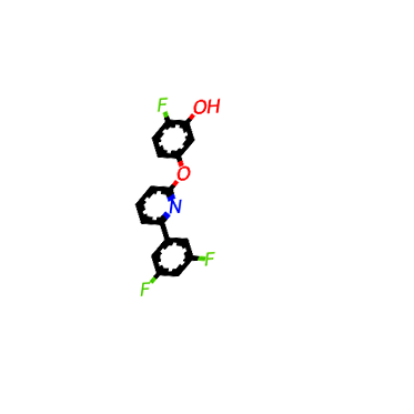 Oc1cc(Oc2cccc(-c3cc(F)cc(F)c3)n2)ccc1F